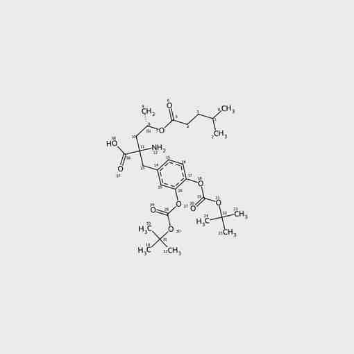 CC(C)CCC(=O)O[C@@H](C)CC(N)(Cc1ccc(OC(=O)OC(C)(C)C)c(OC(=O)OC(C)(C)C)c1)C(=O)O